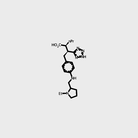 CCC[C@H](C(=O)O)[C@H](Cc1ccc(NCC2CCCN2CC)cc1)c1nn[nH]n1